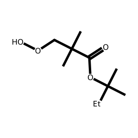 CCC(C)(C)OC(=O)C(C)(C)COO